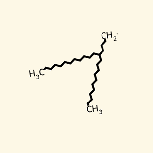 [CH2]CCCC(CCCCCCCCCCC)CCCCCCCCCCCC